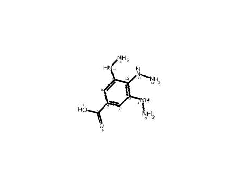 NNc1cc(C(=O)O)cc(NN)c1NN